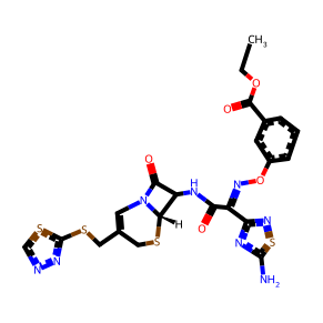 CCOC(=O)c1cccc(ON=C(C(=O)NC2C(=O)N3C=C(CSc4nncs4)CS[C@@H]23)c2nsc(N)n2)c1